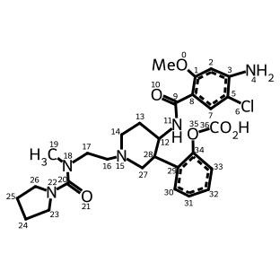 COc1cc(N)c(Cl)cc1C(=O)NC1CCN(CCN(C)C(=O)N2CCCC2)CC1c1ccccc1OC(=O)O